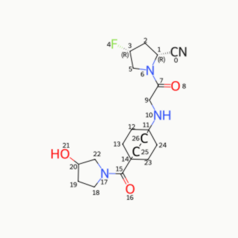 N#C[C@H]1C[C@@H](F)CN1C(=O)CNC12CCC(C(=O)N3CCC(O)C3)(CC1)CC2